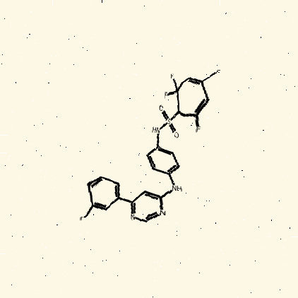 O=S(=O)(Nc1ccc(Nc2cc(-c3cccc(F)c3)ncn2)cc1)C1C(F)=CC(F)=CC1(F)F